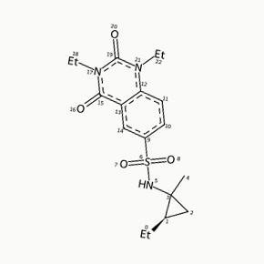 CC[C@@H]1CC1(C)NS(=O)(=O)c1ccc2c(c1)c(=O)n(CC)c(=O)n2CC